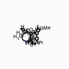 COc1cc2cc(-c3ccc(OC(C)C)cc3)nc(O[C@@H]3C[C@H]4C(=O)N[C@]5(C(=O)NS(=O)(=O)C6CC6)C[C@H]5/C=C\CC[C@H](C)C[C@@H](C)[C@H](N(C(=O)O)[C@H]5CC6C[C@H]6C5)C(=O)N4C3)c2cc1F